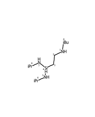 CCC(C)NCC[SiH](NC(C)C)NC(C)C